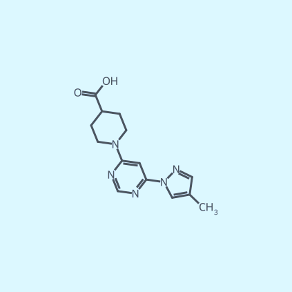 Cc1cnn(-c2cc(N3CCC(C(=O)O)CC3)ncn2)c1